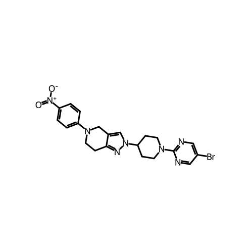 O=[N+]([O-])c1ccc(N2CCc3nn(C4CCN(c5ncc(Br)cn5)CC4)cc3C2)cc1